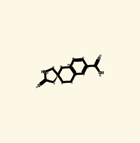 O=C1C[C@]2(CCc3cc(C(=O)O)ccc3C2)CN1